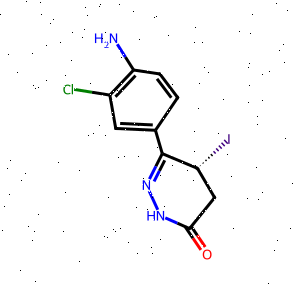 Nc1ccc(C2=NNC(=O)C[C@H]2I)cc1Cl